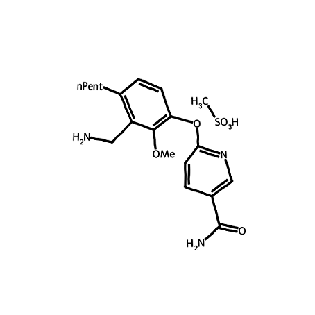 CCCCCc1ccc(Oc2ccc(C(N)=O)cn2)c(OC)c1CN.CS(=O)(=O)O